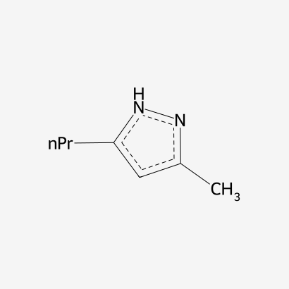 CCCc1cc(C)n[nH]1